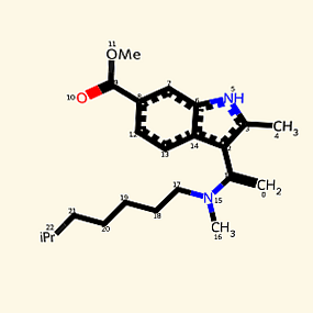 C=C(c1c(C)[nH]c2cc(C(=O)OC)ccc12)N(C)CCCCCC(C)C